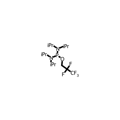 CC(C)N(C(C)C)P(OCC(F)(F)C(F)(F)F)N(C(C)C)C(C)C